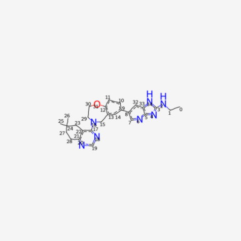 CCNc1nc2ncc(-c3ccc4c(c3)CN(c3ncnc5c3CC(C)(C)CC5)CCO4)cc2[nH]1